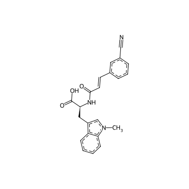 Cn1cc(C[C@H](NC(=O)/C=C/c2cccc(C#N)c2)C(=O)O)c2ccccc21